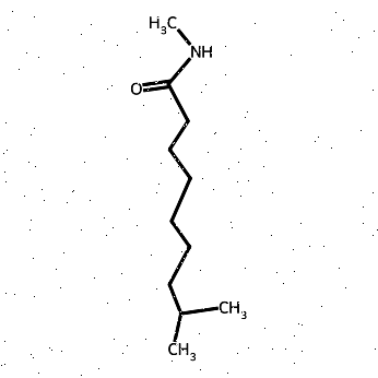 CNC(=O)CCCCCCC(C)C